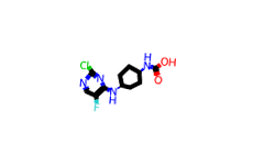 O=C(O)N[C@H]1CC[C@H](Nc2nc(Cl)ncc2F)CC1